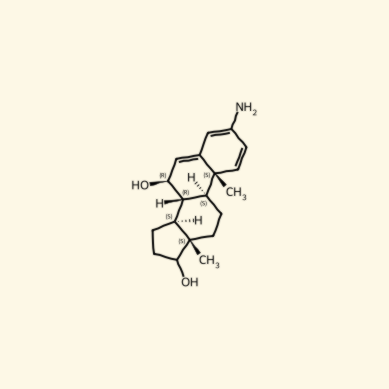 C[C@]12C=CC(N)=CC1=C[C@H](O)[C@@H]1[C@@H]2CC[C@]2(C)C(O)CC[C@@H]12